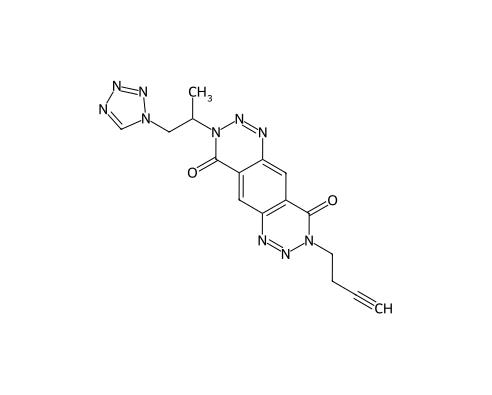 C#CCCn1nnc2cc3c(=O)n(C(C)Cn4cnnn4)nnc3cc2c1=O